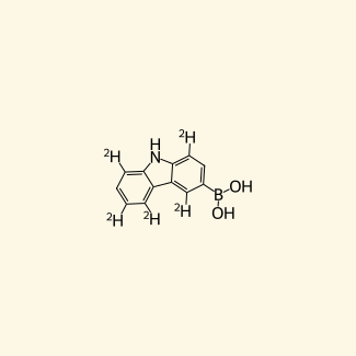 [2H]c1cc([2H])c2[nH]c3c([2H])cc(B(O)O)c([2H])c3c2c1[2H]